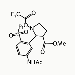 COC(=O)C1CCN(OC(=O)C(F)(F)F)C1c1cc(NC(C)=O)ccc1S(=O)(=O)C(C)C